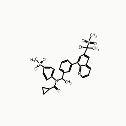 CCC(C)(c1cc(-c2cccc(C(C)N(C(=O)C3CC3)c3ccc(S(C)(=O)=O)cc3)c2)c2ncccc2c1)S(C)(=O)=O